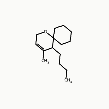 CCCCC1C(C)=CCOC12CCCCC2